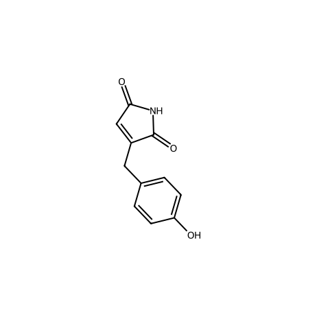 O=C1C=C(Cc2ccc(O)cc2)C(=O)N1